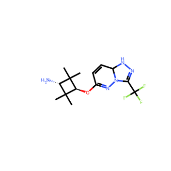 CC1(C)[C@H](N)C(C)(C)[C@H]1OC1=NN2C(C(F)(F)F)=NNC2C=C1